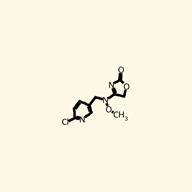 CON(Cc1ccc(Cl)nc1)C1=NC(=O)OC1